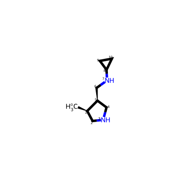 C[C@@H]1CNC[C@@H]1CNC1CC1